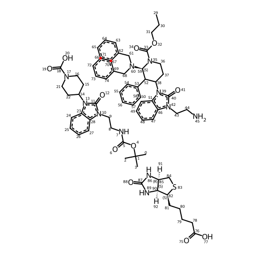 CC(C)(C)OC(=O)NCCn1c(=O)n(C2CCN(C(=O)O)CC2)c2ccccc21.CCCOC(=O)N1CCC(n2c(=O)n(CCN)c3ccccc32)C(c2ccccc2)[C@H]1N(Cc1ccccc1)Cc1ccccc1.O=C(O)CCCC[C@@H]1SC[C@@H]2NC(=O)N[C@@H]21